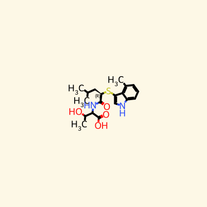 Cc1cccc2[nH]cc(S[C@H](CC(C)C)C(=O)NC(C(=O)O)C(C)O)c12